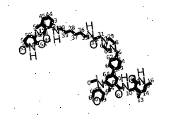 CCN(C1=C(C)C(C(=O)NCc2c(C)cc(C)[nH]c2=O)CC(c2ccc(CN3CCN(CC(=O)NCCCCCCNc4cccc5c4C(=O)N(C4CCC(=O)NC4=O)C5)CC3)cc2)=C1)C1CCOCC1